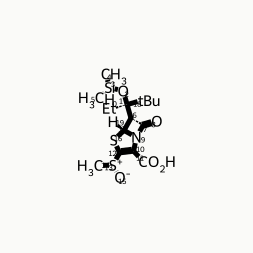 CC[C@@](O[SiH](C)C)([C@@H]1C(=O)N2C(C(=O)O)=C([S+](C)[O-])S[C@H]12)C(C)(C)C